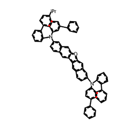 CC(C)c1ccc(-c2ccccc2N(c2cccc(-c3ccccc3)c2)c2ccc3cc4c(cc3c2)oc2cc3cc(N(c5ccc(-c6ccccc6)cc5)c5ccccc5-c5ccccc5)ccc3cc24)cc1